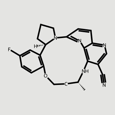 C[C@@H]1CCOc2ccc(F)cc2[C@H]2CCCN2c2ccc3ncc(C#N)c(c3n2)N1